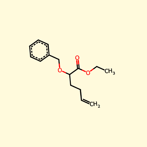 C=CCCC(OCc1ccccc1)C(=O)OCC